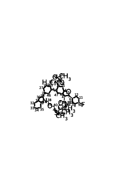 CNC(=O)c1c(-c2ccc(F)cc2)oc2cc(N(C)S(C)(=O)=O)c(-c3cccc(-c4cc5ccccc5n4COCC[Si](C)(C)C)c3)cc12